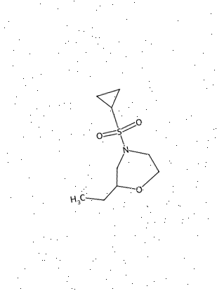 CCC1CN(S(=O)(=O)C2CC2)CCO1